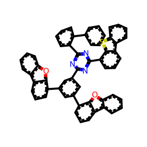 c1ccc(-c2ccccc2-c2nc(-c3cc(-c4cccc5c4oc4ccccc45)cc(-c4cccc5c4oc4ccccc45)c3)nc(-c3cccc4c3sc3ccccc34)n2)cc1